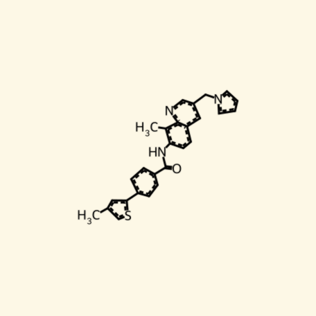 Cc1csc(-c2ccc(C(=O)Nc3ccc4cc(Cn5cccc5)cnc4c3C)cc2)c1